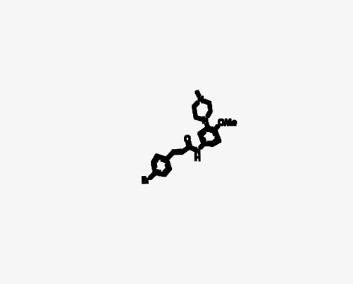 COc1ccc(NC(=O)C=Cc2ccc(Br)cc2)cc1N1CCN(C)CC1